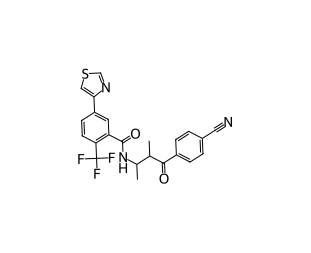 CC(NC(=O)c1cc(-c2cscn2)ccc1C(F)(F)F)C(C)C(=O)c1ccc(C#N)cc1